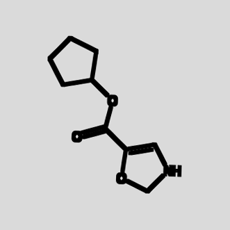 O=C(OC1CCCC1)C1=CNCO1